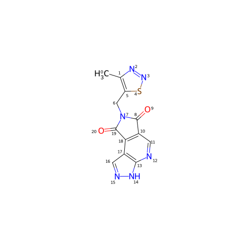 Cc1nnsc1CN1C(=O)c2cnc3[nH]ncc3c2C1=O